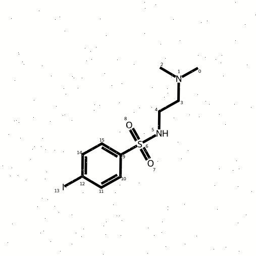 CN(C)CCNS(=O)(=O)c1ccc(I)cc1